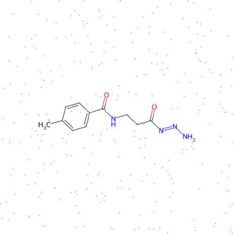 Cc1ccc(C(=O)NCCC(=O)N=NN)cc1